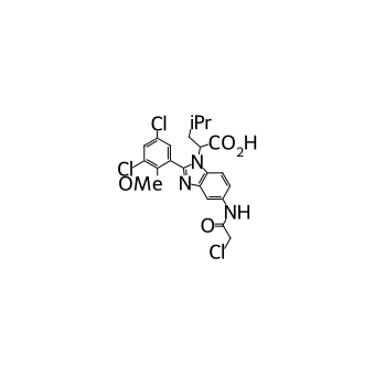 COc1c(Cl)cc(Cl)cc1-c1nc2cc(NC(=O)CCl)ccc2n1C(CC(C)C)C(=O)O